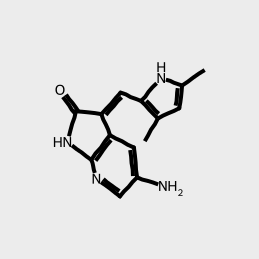 Cc1cc(C)c(C=C2C(=O)Nc3ncc(N)cc32)[nH]1